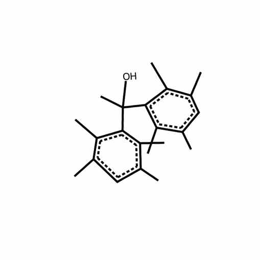 Cc1cc(C)c(C)c(C(C)(O)c2c(C)c(C)cc(C)c2C)c1C